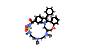 CCN1CCN(CC)C2COc3ccccc3-c3c(C4CCCCC4)c4ccc(cc4n3C2)C(=O)NS(=O)(=O)N(C)CC1